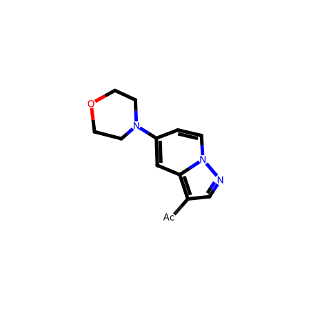 CC(=O)c1cnn2ccc(N3CCOCC3)cc12